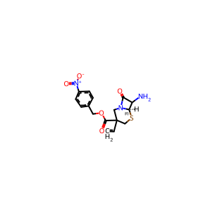 C=CC1(C(=O)OCc2ccc([N+](=O)[O-])cc2)CS[C@@H]2C(N)C(=O)N2C1